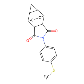 O=C1C2C3CCC(C4CC43)C2C(=O)N1c1ccc(SC(F)(F)F)cc1